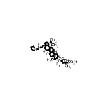 C=C(C)[C@@H]1CC[C@]2(CCNCN3CCCC3)CC[C@]3(C)[C@H](CC[C@@H]4[C@@]5(C)CC[C@H](OC(=O)CC(C)(C)CC(=O)O)C(C)(C)[C@@H]5CC[C@]43C)[C@@H]12